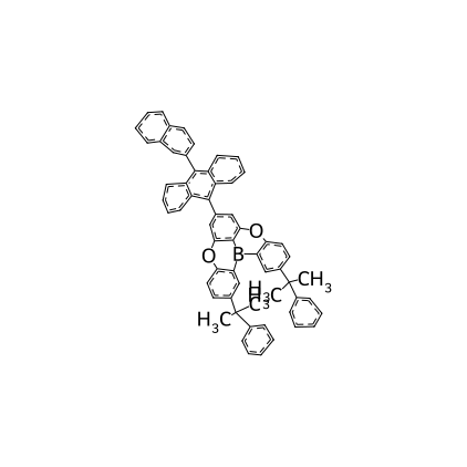 CC(C)(c1ccccc1)c1ccc2c(c1)B1c3cc(C(C)(C)c4ccccc4)ccc3Oc3cc(-c4c5ccccc5c(-c5ccc6ccccc6c5)c5ccccc45)cc(c31)O2